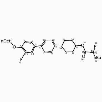 CCCCCCCCOc1ccc(-c2ccc([C@H]3CC[C@H](OC(=O)[C@@H](F)CCCC)CC3)cc2)cc1F